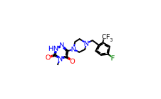 Cn1c(=O)[nH]nc(N2CCN(Cc3ccc(F)cc3C(F)(F)F)CC2)c1=O